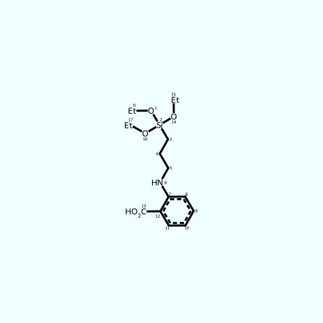 CCO[Si](CCCNc1ccccc1C(=O)O)(OCC)OCC